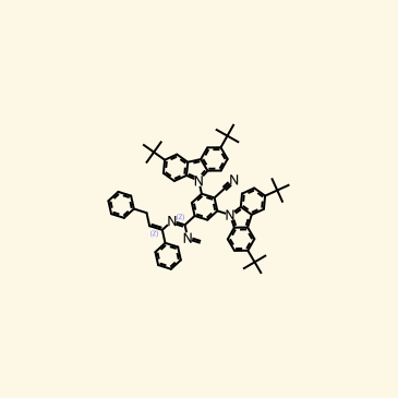 C=N/C(=N\C(=C/Cc1ccccc1)c1ccccc1)c1cc(-n2c3ccc(C(C)(C)C)cc3c3cc(C(C)(C)C)ccc32)c(C#N)c(-n2c3ccc(C(C)(C)C)cc3c3cc(C(C)(C)C)ccc32)c1